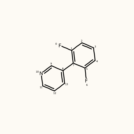 Fc1cccc(F)c1-c1[c]nccc1